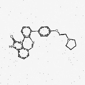 O=c1[nH]c2cccc3c2n1-c1cccc(-c2ccc(OCCN4CCCC4)cc2)c1N=C3